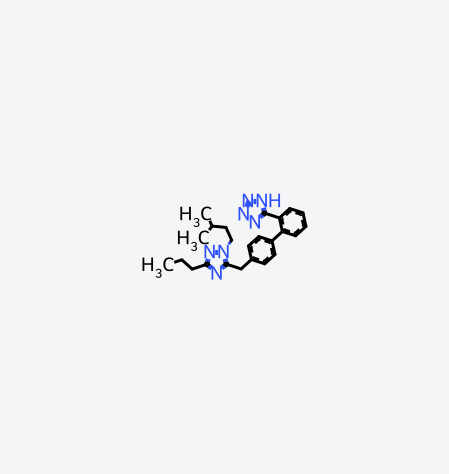 CCCc1nc(Cc2ccc(-c3ccccc3-c3nnn[nH]3)cc2)n(CCC(C)C)n1